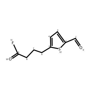 O=Cc1ccc(CCCC(=O)F)s1